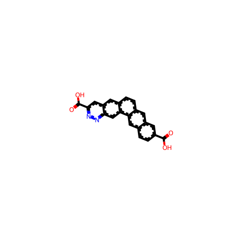 O=C(O)c1ccc2cc3c(ccc4cc5cc(C(=O)O)nnc5cc43)cc2c1